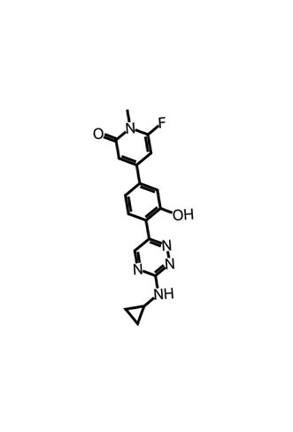 Cn1c(F)cc(-c2ccc(-c3cnc(NC4CC4)nn3)c(O)c2)cc1=O